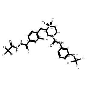 O=C(NNC(=O)C(F)(F)F)c1ccc(CC2CN(C(=O)Nc3cccc(OC(F)(F)F)c3)CCS2(=O)=O)c(F)c1